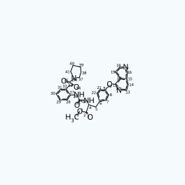 COC(=O)C(Cc1ccc(Oc2nccc3cnccc23)cc1)NC(=O)Nc1ccccc1S(=O)(=O)N1CCCCC1